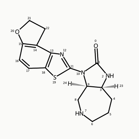 O=C1N[C@H]2CCCNC[C@H]2N1c1nc2c3c(ccc2s1)OCC3